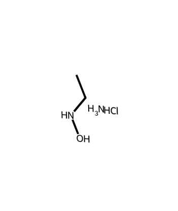 CCNO.Cl.N